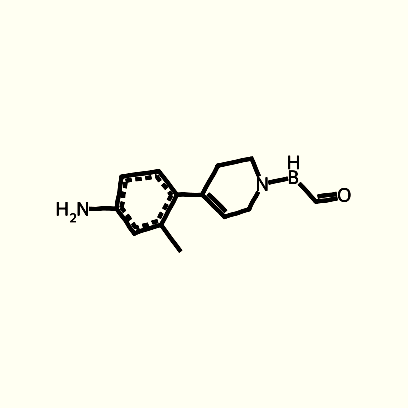 Cc1cc(N)ccc1C1=CCN(BC=O)CC1